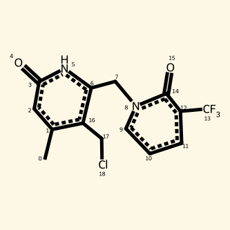 Cc1cc(=O)[nH]c(Cn2cccc(C(F)(F)F)c2=O)c1CCl